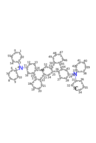 c1ccc(N(c2ccccc2)c2ccc3c(c2)c2ccccc2c2cc4c5ccc(N(c6ccccc6)c6ccccc6)cc5c5ccccc5c4cc32)cc1